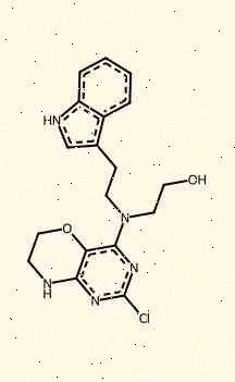 OCCN(CCc1c[nH]c2ccccc12)c1nc(Cl)nc2c1OCCN2